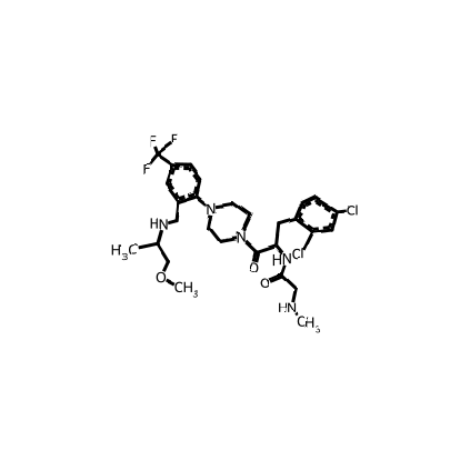 CNCC(=O)NC(Cc1ccc(Cl)cc1Cl)C(=O)N1CCN(c2ccc(C(F)(F)F)cc2CNC(C)COC)CC1